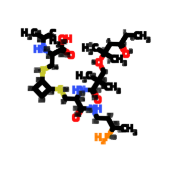 CCC(=O)CC(C)(C)OCC(C)(C)C(=O)NC(CSC1CCC1SCC(NC(C)C)C(=O)O)C(=O)NCCC(C)P